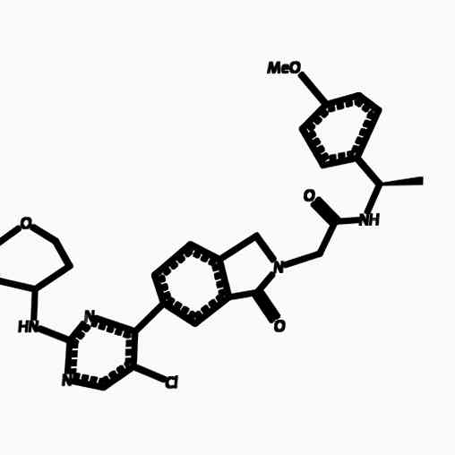 COc1ccc([C@@H](C)NC(=O)CN2Cc3ccc(-c4nc(NC5CCOCC5)ncc4Cl)cc3C2=O)cc1